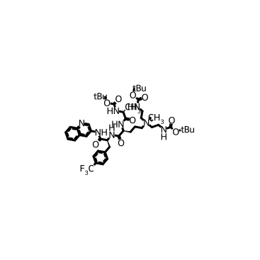 C[C@@H](NC(=O)OC(C)(C)C)C(=O)N[C@@H](CCC[N+](C)(CCNC(=O)OC(C)(C)C)CCNC(=O)OC(C)(C)C)C(=O)N[C@@H](Cc1ccc(C(F)(F)F)cc1)C(=O)Nc1cnc2ccccc2c1